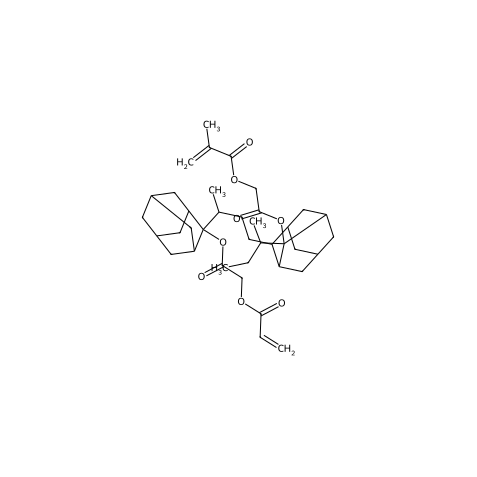 C=CC(=O)OCC(=O)OC1(C(C)CCC2C3CC4CC(C3)C(OC(=O)COC(=O)C(=C)C)(C(C)CC)C2C4)C2CC3CC(C2)CC1C3